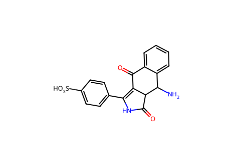 NC1c2ccccc2C(=O)C2=C(c3ccc(S(=O)(=O)O)cc3)NC(=O)C21